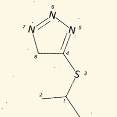 CC(C)SC1=NN=NC1